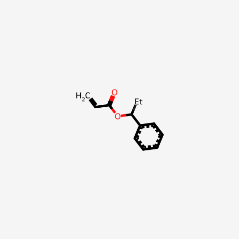 C=CC(=O)OC(CC)c1ccccc1